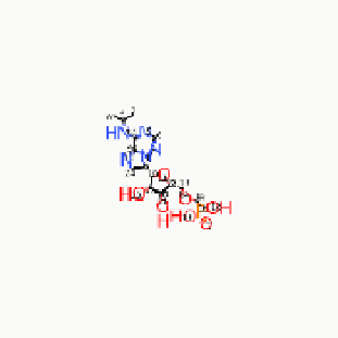 CC(C)Nc1ncnn2c([C@@H]3O[C@H](COCP(=O)(O)O)[C@@H](O)[C@H]3O)cnc12